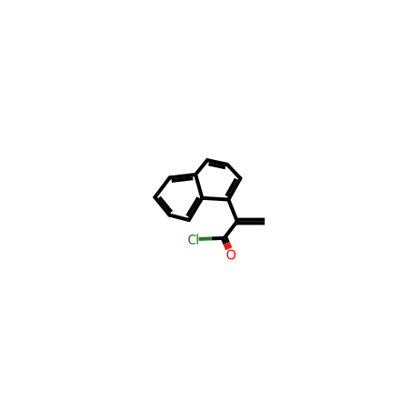 C=C(C(=O)Cl)c1cccc2ccccc12